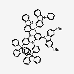 CC(C)(C)c1ccc2c(c1)c1cc(C(C)(C)C)ccc1n2-c1cc2c3c(c1)N(c1ccc4c(c1)c1ccccc1n4-c1ccccc1)c1c(ccc4c1oc1ccccc14)B3c1ccc([Si](c3ccccc3)(c3ccccc3)c3ccccc3)cc1N2c1cccc([Si](c2ccccc2)(c2ccccc2)c2ccccc2)c1